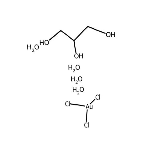 O.O.O.O.OCC(O)CO.[Cl][Au]([Cl])[Cl]